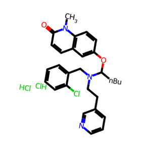 CCCCC(Oc1ccc2c(ccc(=O)n2C)c1)N(CCc1cccnc1)Cc1ccccc1Cl.Cl.Cl